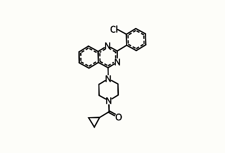 O=C(C1CC1)N1CCN(c2nc(-c3ccccc3Cl)nc3ccccc23)CC1